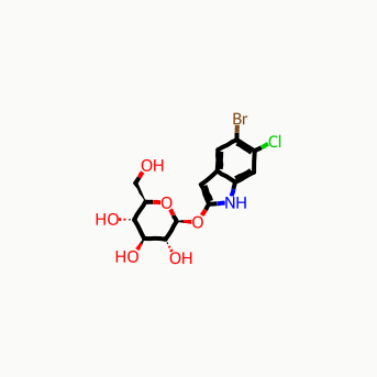 OC[C@H]1O[C@@H](Oc2cc3cc(Br)c(Cl)cc3[nH]2)[C@H](O)[C@@H](O)[C@@H]1O